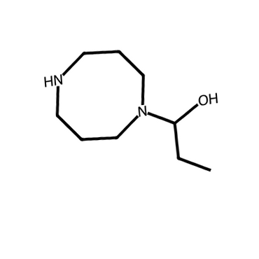 CCC(O)N1CCCNCCC1